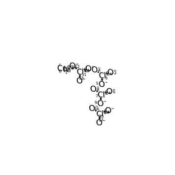 [Cu+2].[Ni+2].[O-][Cl+2]([O-])[O-].[O-][Cl+2]([O-])[O-].[O-][Cl+2]([O-])[O-].[O-][Cl+2]([O-])[O-]